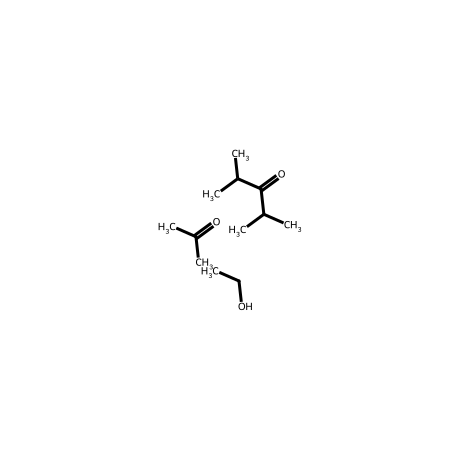 CC(C)=O.CC(C)C(=O)C(C)C.CCO